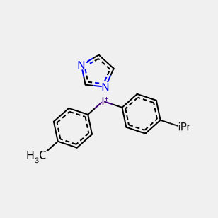 Cc1ccc([I+]c2ccc(C(C)C)cc2)cc1.c1c[n-]cn1